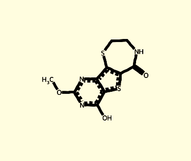 COc1nc(O)c2sc3c(c2n1)SCCNC3=O